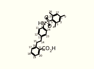 Cc1cc(C)c(S(=O)(=O)Nc2ccc(CCc3ccccc3C(=O)O)cc2)c(C)c1